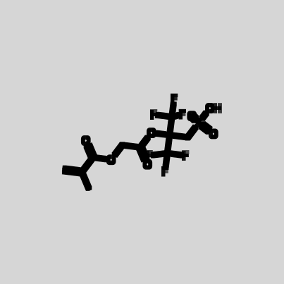 C=C(C)C(=O)OCC(=O)OC(CS(=O)(=O)O)(C(F)(F)F)C(F)(F)F